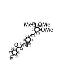 COc1cc(C=Cc2ccc(NC=CC(=O)c3ccc(F)cc3)cc2)cc(OC)c1OC